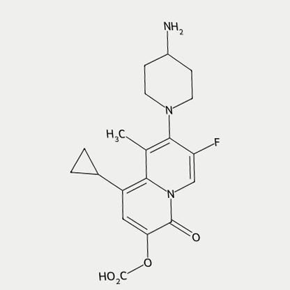 Cc1c(N2CCC(N)CC2)c(F)cn2c(=O)c(OC(=O)O)cc(C3CC3)c12